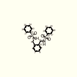 O=S(=O)(NCc1ccccc1CNS(=O)(=O)c1ccccc1)c1ccccc1